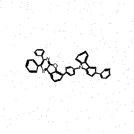 c1ccc(-c2ccc3c(c2)c2ccccc2n3-c2ccc(-c3cccc4c3oc3nc(-c5ccccc5)c(-c5ccccc5)nc34)cc2)cc1